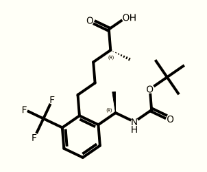 C[C@H](CCCc1c([C@@H](C)NC(=O)OC(C)(C)C)cccc1C(F)(F)F)C(=O)O